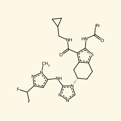 CC(C)C(=O)Nc1sc2c(c1C(=O)NCC1CC1)C[C@@H](n1cnnc1Nc1cc(C(F)F)nn1C)CC2